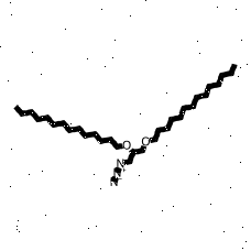 CCCCCCCCCCCCCCOCC(CN=[N+]=[N-])OCCCCCCCCCCCCCC